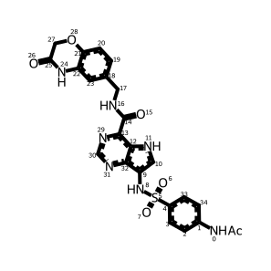 CC(=O)Nc1ccc(S(=O)(=O)Nc2c[nH]c3c(C(=O)NCc4ccc5c(c4)NC(=O)CO5)ncnc23)cc1